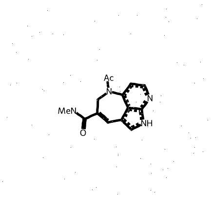 CNC(=O)C1=Cc2c[nH]c3nccc(c23)N(C(C)=O)C1